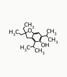 CCC1(CC)Cc2c(cc(C(C)C)c(O)c2C(C)C)O1